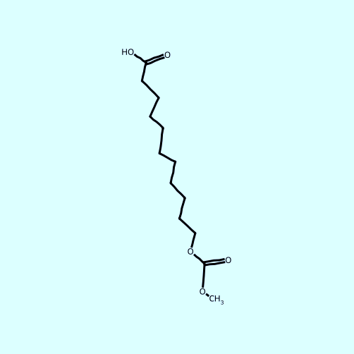 COC(=O)OCCCCCCCCCCC(=O)O